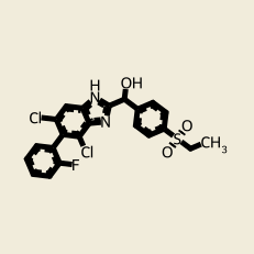 CCS(=O)(=O)c1ccc(C(O)c2nc3c(Cl)c(-c4ccccc4F)c(Cl)cc3[nH]2)cc1